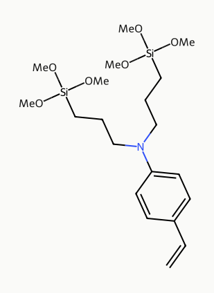 C=Cc1ccc(N(CCC[Si](OC)(OC)OC)CCC[Si](OC)(OC)OC)cc1